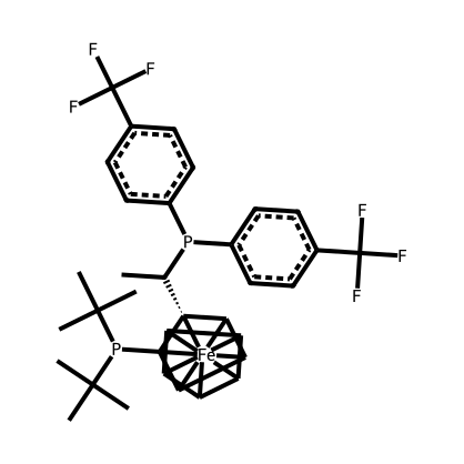 CC(P(c1ccc(C(F)(F)F)cc1)c1ccc(C(F)(F)F)cc1)[C@@]12[CH]3[CH]4[CH]5[C]1(P(C(C)(C)C)C(C)(C)C)[Fe]45321678[CH]2[CH]1[CH]6[CH]7[CH]28